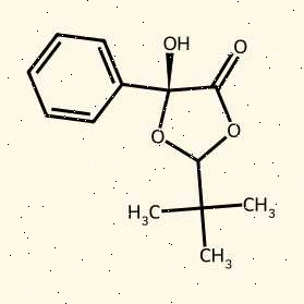 CC(C)(C)C1OC(=O)[C@@](O)(c2ccccc2)O1